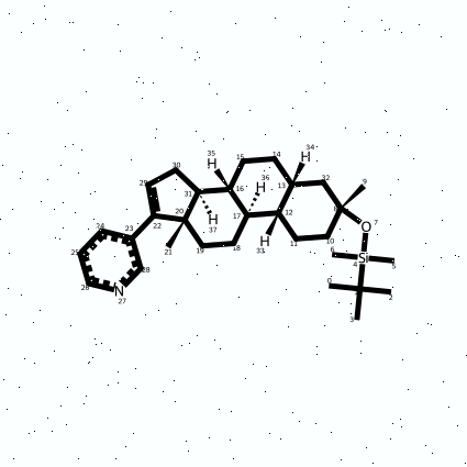 CC(C)(C)[Si](C)(C)O[C@]1(C)CC[C@H]2[C@H](CC[C@@H]3[C@@H]2CC[C@]2(C)C(c4cccnc4)=CC[C@@H]32)C1